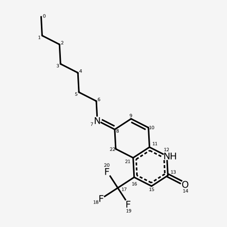 CCCCCCCN=C1C=Cc2[nH]c(=O)cc(C(F)(F)F)c2C1